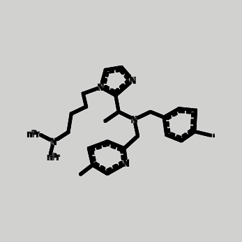 [CH]c1ccc(CN(Cc2ccc(C)cn2)C(C)c2nccn2CCCCN(CCC)CCC)cc1